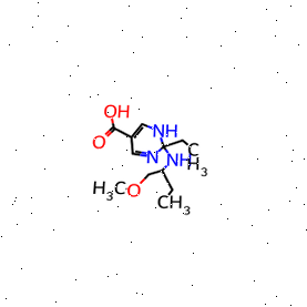 CCC(COC)NC1(CC)N=CC(C(=O)O)=CN1